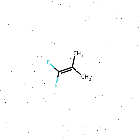 [CH2]C(C)=C(F)F